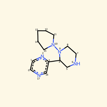 c1cnc(C2CNCCN2N2CCCCC2)cn1